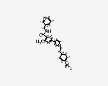 Cc1nc(-c2ccn(CCc3ccc(OC(F)(F)F)cc3)n2)sc1C(=O)NCc1cccnc1